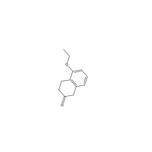 CCOc1cccc2c1CCC(=O)C2